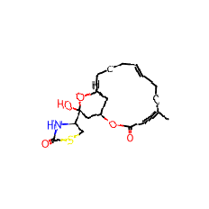 C/C1=C/C(=O)OC2C[C@@H](CCC/C=C/CC1)OC(O)(C1CSC(=O)N1)C2